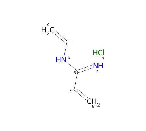 C=CNC(=N)C=C.Cl